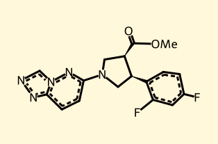 COC(=O)[C@@H]1CN(c2ccc3nncn3n2)C[C@@H]1c1ccc(F)cc1F